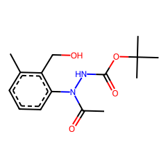 CC(=O)N(NC(=O)OC(C)(C)C)c1cccc(C)c1CO